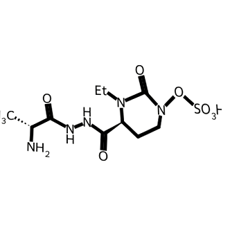 CCN1C(=O)N(OS(=O)(=O)O)CC[C@H]1C(=O)NNC(=O)[C@@H](C)N